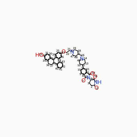 O=C1CCC(N2C(=O)c3ccc(C4CCN(CC5CCN(CCOc6ccc([C@@H]7c8ccc(O)cc8CC[C@@H]7c7ccccc7)cc6)CC5)CC4)cc3C2=O)C(=O)N1